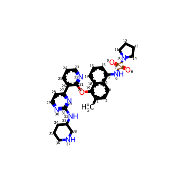 Cc1ccc2c(NS(=O)(=O)N3CCCC3)cccc2c1Oc1ncccc1-c1ccnc(NC2CCCNC2)n1